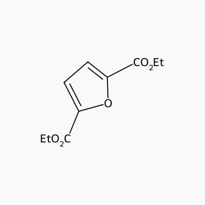 CCOC(=O)c1ccc(C(=O)OCC)o1